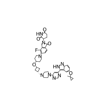 CC1(Oc2ccc3n[nH]c(-c4cc(N5CCN(C[C@H]6C[C@H](OC7CCN(c8ccc9c(c8F)CN(C8CCC(=O)NC8=O)C9=O)CC7)C6)CC5)ncn4)c3c2)CC1